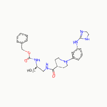 O=C(N[C@@H](CNC(=O)C1CCN(c2cccc(NC3=NCCN3)c2)CC1)C(=O)O)OCc1ccccc1